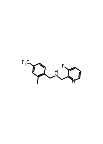 Cc1cc(C(F)(F)F)ccc1CNCc1ncccc1F